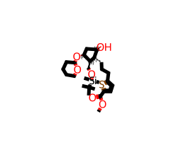 COC(=O)c1ccc(CCC[C@@H]2[C@@H](CO[Si](C)(C)C(C)(C)C)[C@H](OC3CCCCO3)C[C@@H]2O)s1